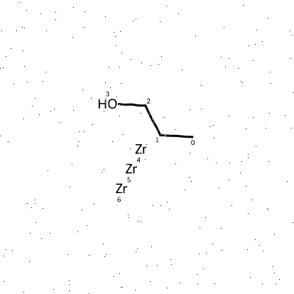 CCCO.[Zr].[Zr].[Zr]